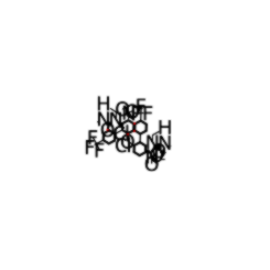 CCN(C(=O)NC)c1c([N+](=O)[O-])ccc(Oc2ccc([N+](=O)[O-])c(N(CC)C(=O)NC)c2-c2ccc(C(F)(F)F)cc2Cl)c1-c1ccc(C(F)(F)F)cc1Cl